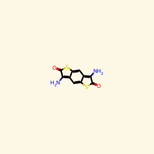 NC1=c2cc3c(cc2SC1=O)=C(N)C(=O)S3